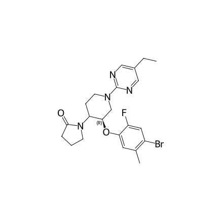 CCc1cnc(N2CCC(N3CCCC3=O)[C@H](Oc3cc(C)c(Br)cc3F)C2)nc1